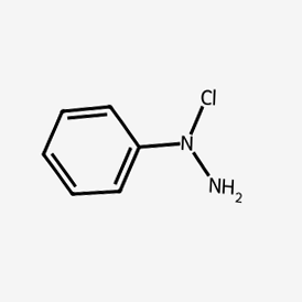 NN(Cl)c1ccccc1